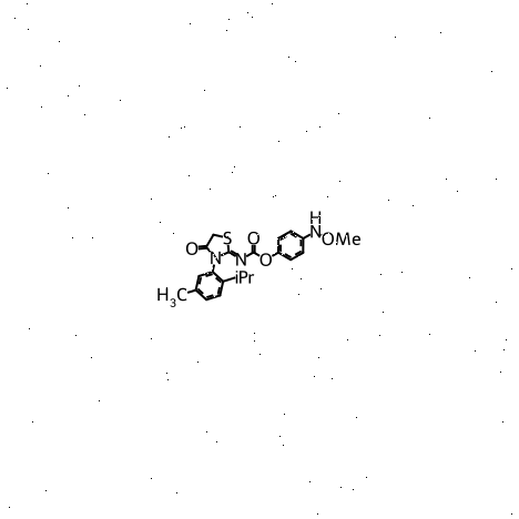 CONc1ccc(OC(=O)/N=C2\SCC(=O)N2c2cc(C)ccc2C(C)C)cc1